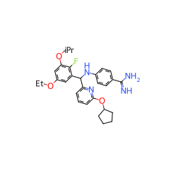 CCOc1cc(OC(C)C)c(F)c(C(Nc2ccc(C(=N)N)cc2)c2cccc(OC3CCCC3)n2)c1